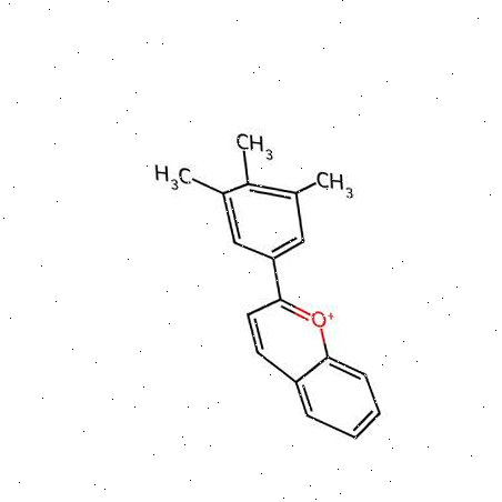 Cc1cc(-c2ccc3ccccc3[o+]2)cc(C)c1C